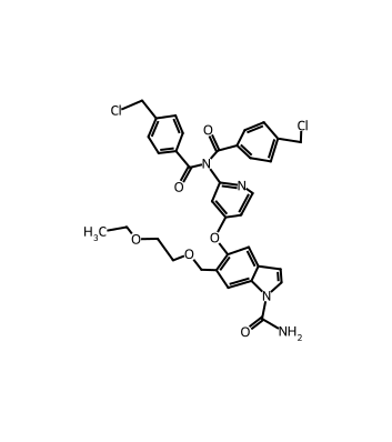 CCOCCOCc1cc2c(ccn2C(N)=O)cc1Oc1ccnc(N(C(=O)c2ccc(CCl)cc2)C(=O)c2ccc(CCl)cc2)c1